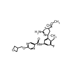 COC[C@@]1(C)C[C@@](C)(c2cc(NC(=O)c3cnc(OCC4COC4)cn3)cc(F)c2F)N=C(N)S1